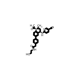 CC(=O)N1c2ccc(-c3ccc(CC(=O)NCCO)cc3)cc2[C@H](Nc2ccc(C#N)cn2)C[C@@H]1C